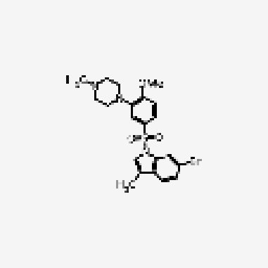 COc1ccc(S(=O)(=O)n2cc(C)c3ccc(Br)cc32)cc1N1CCN(C)CC1